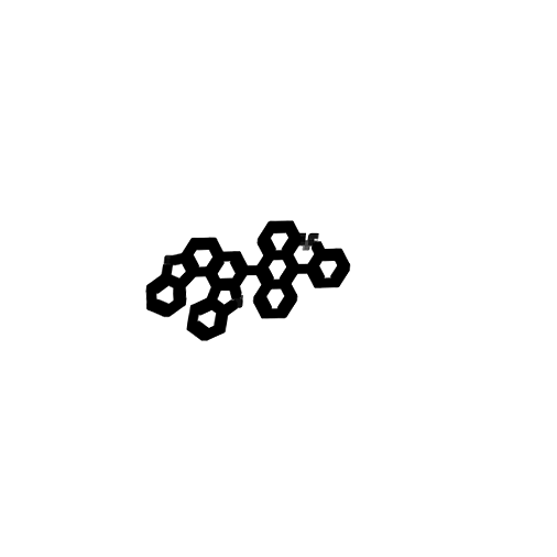 Cc1ccccc1-c1c2ccccc2c(-c2cc3ccc4sc5ccccc5c4c3c3c2sc2ccccc23)c2ccccc12